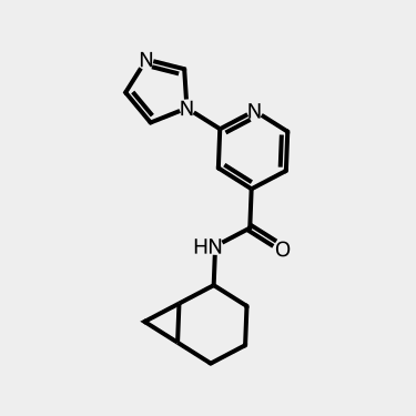 O=C(NC1CCCC2CC21)c1ccnc(-n2ccnc2)c1